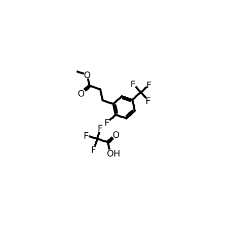 COC(=O)CCc1cc(C(F)(F)F)ccc1F.O=C(O)C(F)(F)F